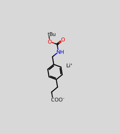 CC(C)(C)OC(=O)NCc1ccc(CCC(=O)[O-])cc1.[Li+]